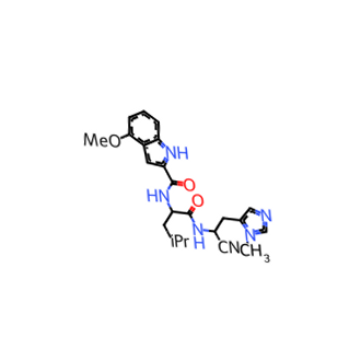 COc1cccc2[nH]c(C(=O)NC(CC(C)C)C(=O)NC(C#N)Cc3cncn3C)cc12